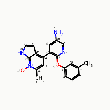 Cc1cccc(Oc2ncc(N)cc2-c2cc(C)[n+]([O-])c3[nH]ccc23)c1